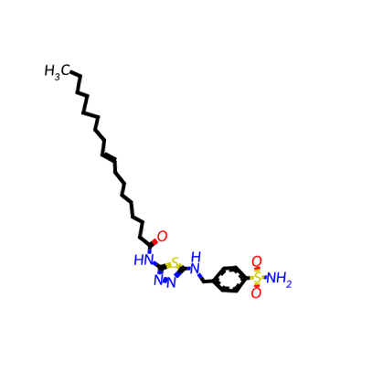 CCCCCCCC/C=C/CCCCCCCC(=O)Nc1nnc(NCc2ccc(S(N)(=O)=O)cc2)s1